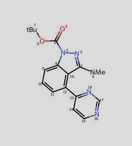 CNc1nn(C(=O)OC(C)(C)C)c2cccc(-c3ccncn3)c12